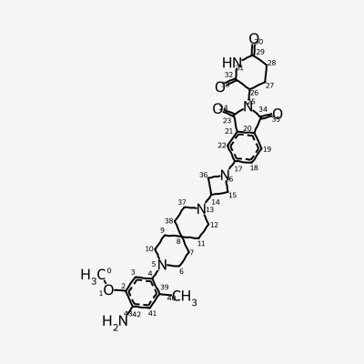 COc1cc(N2CCC3(CC2)CCN(C2CN(c4ccc5c(c4)C(=O)N(C4CCC(=O)NC4=O)C5=O)C2)CC3)c(C)cc1N